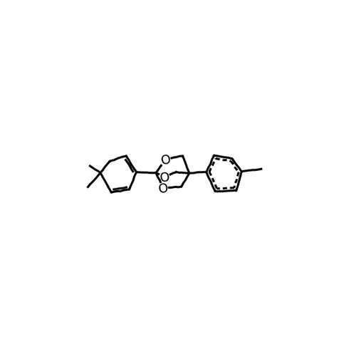 Cc1ccc(C23COC(C4=CCC(C)(C)C=C4)(OC2)OC3)cc1